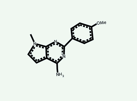 COc1ccc(-c2nc(N)c3ccn(C)c3n2)cc1